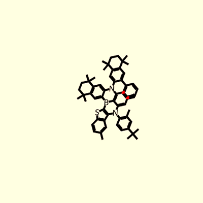 Cc1cc2c3c(c1)N(c1ccc(C(C)(C)C)cc1C)c1c(sc4ccc(C)cc14)B3c1cc3c(cc1N2c1cc2c(cc1-c1cc#ccc1)C(C)(C)CCC2(C)C)C(C)(C)CCC3(C)C